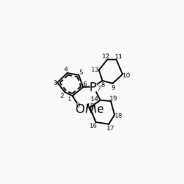 COc1ccccc1P(C1CCCCC1)C1CCCCC1